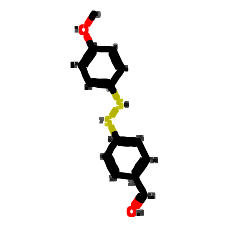 COc1ccc(SSc2ccc(C=O)cc2)cc1